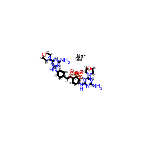 Nc1nc(NC2=CC(S(=O)(=O)[O-])(S(=O)(=O)[O-])C(C=Cc3ccc(Nc4nc(N)nc(N5CCOCC5)n4)cc3)C=C2)nc(N2CCOCC2)n1.[Na+].[Na+]